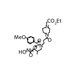 CCOC(=O)CN1CCN(C(=O)CCN(CC(C)CC(=O)NO)S(=O)(=O)c2ccc(OC)cc2)CC1